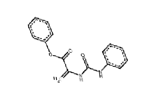 C=C(NC(=O)Nc1ccccc1)C(=O)Oc1ccccc1